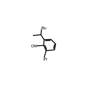 CCC(C)C(C)c1cccc(C(C)C)c1N=O